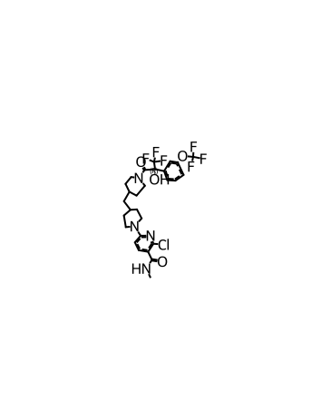 CNC(=O)c1ccc(N2CCC(CC3CCN(C(=O)[C@](O)(c4cccc(OC(F)(F)F)c4)C(F)(F)F)CC3)CC2)nc1Cl